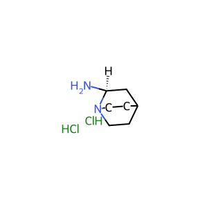 Cl.Cl.N[C@H]1CC2CCN1CC2